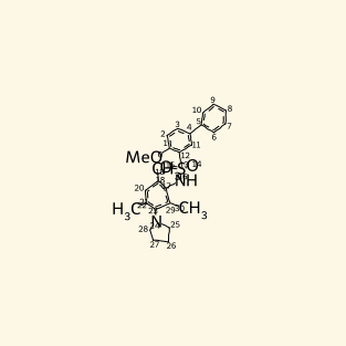 COc1ccc(-c2ccccc2)cc1S(=O)(=O)Nc1c(C)cc(C)c(N2CCCC2)c1C